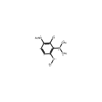 CCOc1ccc(NC(C)=O)c(CC)c1N(OC(C)=O)OC(C)=O